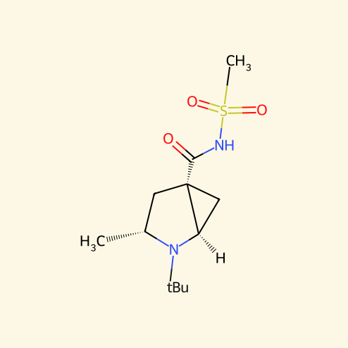 C[C@@H]1C[C@@]2(C(=O)NS(C)(=O)=O)C[C@H]2N1C(C)(C)C